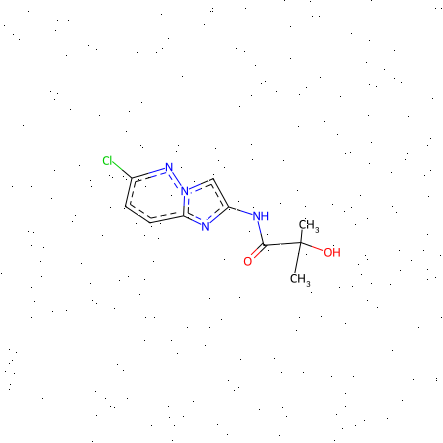 CC(C)(O)C(=O)Nc1cn2nc(Cl)ccc2n1